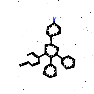 C=C/C=C\C(=C/C)c1cc(-c2ccc(N)cc2)cc(-c2ccccc2)c1-c1ccccc1